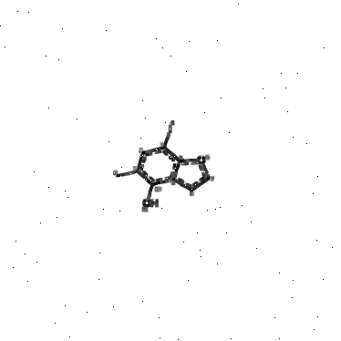 Cc1cc(I)c2occc2c1O